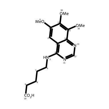 COc1cc2c(NCCCCC(=O)O)ncnc2c(OC)c1OC